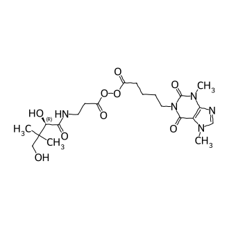 Cn1cnc2c1c(=O)n(CCCCC(=O)OOC(=O)CCNC(=O)[C@H](O)C(C)(C)CO)c(=O)n2C